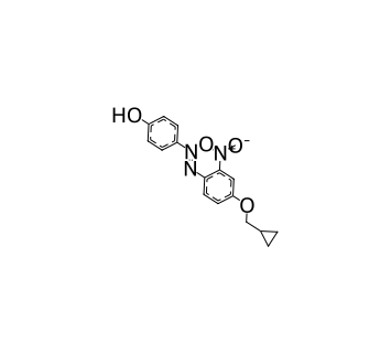 O=[N+]([O-])c1cc(OCC2CC2)ccc1/N=N/c1ccc(O)cc1